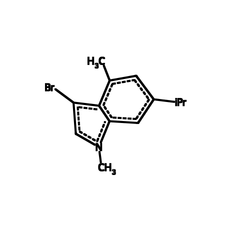 Cc1cc(C(C)C)cc2c1c(Br)cn2C